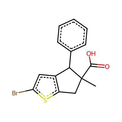 CC1(C(=O)O)Cc2sc(Br)cc2C1c1ccccc1